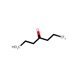 O=C(O)CCC(=O)CCC(F)(F)F